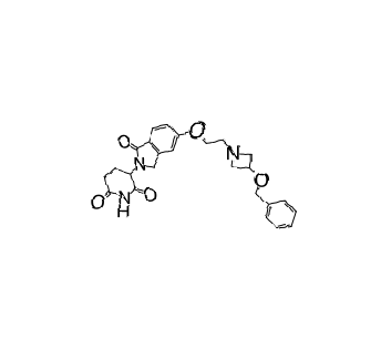 O=C1CCC(N2Cc3cc(OCCN4CC(OCc5ccccc5)C4)ccc3C2=O)C(=O)N1